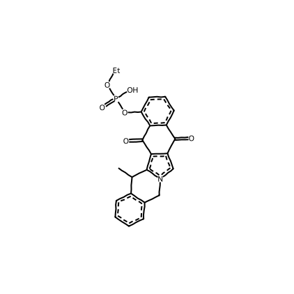 CCOP(=O)(O)Oc1cccc2c1C(=O)c1c(cn3c1C(C)c1ccccc1C3)C2=O